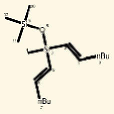 CCCC/C=C/[Si](C)(/C=C/CCCC)O[Si](C)(C)C